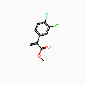 C=C(C(=O)OC)c1ccc(F)c(Cl)c1